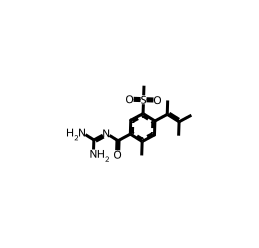 CC(C)=C(C)c1cc(C)c(C(=O)N=C(N)N)cc1S(C)(=O)=O